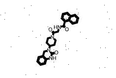 O=C(NCC(=O)N1CCC(N2Cc3ccccc3NC2=O)CC1)c1cccc2ccccc12